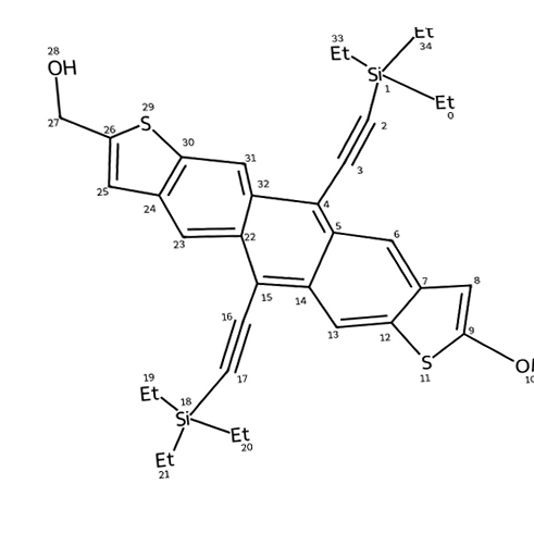 CC[Si](C#Cc1c2cc3cc(OC)sc3cc2c(C#C[Si](CC)(CC)CC)c2cc3cc(CO)sc3cc12)(CC)CC